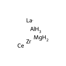 [AlH3].[Ce].[La].[MgH2].[Zr]